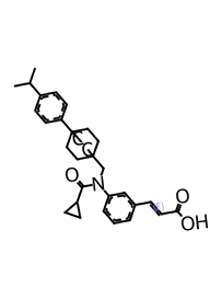 CC(C)c1ccc(C23CCC(CN(C(=O)C4CC4)c4cccc(/C=C/C(=O)O)c4)(CC2)CC3)cc1